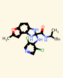 Cc1cc2c3c(ccc2o1)NC(Nc1c(Cl)cncc1Cl)(C(=O)NC(C)C(C)(C)C)N3